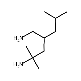 CC(C)CC(CN)CC(C)(C)N